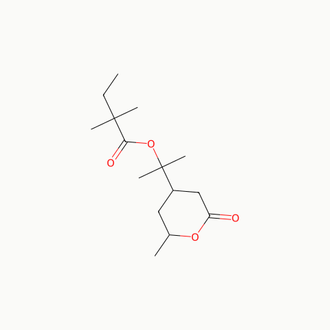 CCC(C)(C)C(=O)OC(C)(C)C1CC(=O)OC(C)C1